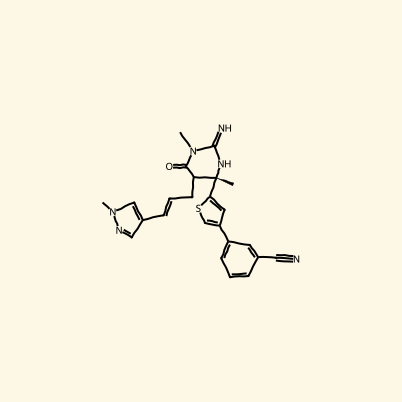 CN1C(=N)N[C@](C)(c2cc(-c3cccc(C#N)c3)cs2)C(C/C=C/c2cnn(C)c2)C1=O